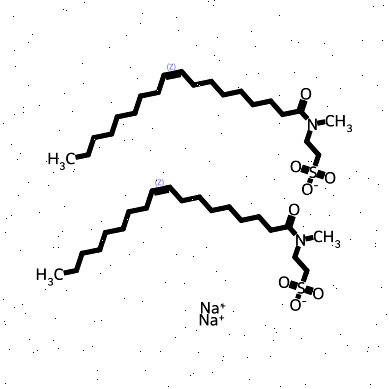 CCCCCCCC/C=C\CCCCCCCC(=O)N(C)CCS(=O)(=O)[O-].CCCCCCCC/C=C\CCCCCCCC(=O)N(C)CCS(=O)(=O)[O-].[Na+].[Na+]